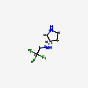 FC(F)(F)CN[C@H]1CCNC1